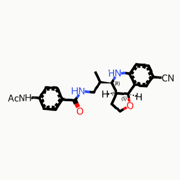 CC(=O)Nc1ccc(C(=O)NCC(C)[C@H]2Nc3ccc(C#N)cc3[C@H]3OCC[C@H]32)cc1